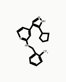 FC(F)(F)c1ccccc1CNc1cc(-c2cn[nH]c2C2CCCC2)ccn1